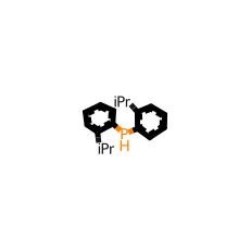 CC(C)c1ccccc1Pc1ccccc1C(C)C